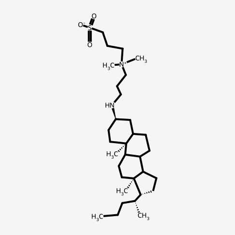 CCC[C@@H](C)[C@H]1CCC2C3CCC4C[C@H](NCCC[N+](C)(C)CCCS(=O)(=O)[O-])CC[C@]4(C)C3CC[C@@]21C